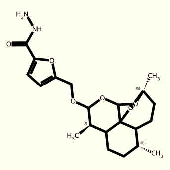 C[C@H]1C(OCc2ccc(C(=O)NN)o2)OC2O[C@]3(C)CCC4[C@H](C)CCC1C24OO3